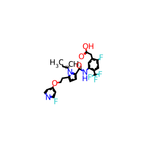 CC[C@H](C)n1c(CCOc2ccnc(F)c2)ccc1C(=O)Nc1cc(CC(=O)O)c(F)cc1C(F)(F)F